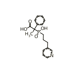 CC(C(=O)O)(c1ccccc1)P(=O)(O)CCCc1cccnc1